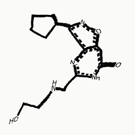 O=c1[nH]c(CNCCO)nc2c(C3CCCC3)noc12